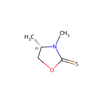 C[C@H]1COC(=S)N1C